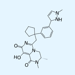 C[C@H]1Cn2c(CC3(c4cccc(C5C=CN(C)N5)c4)CCCC3)nc(=O)c(O)c2C(=O)N1C